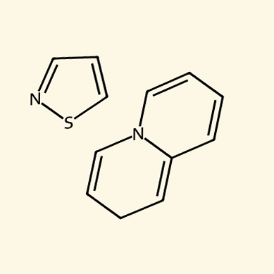 C1=CC2=CCC=CN2C=C1.c1cnsc1